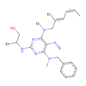 C=Nc1c(N(C)Cc2ccccc2)nc(NC(CC)CO)nc1N(CC)C/C(=C/C=C\C)CC